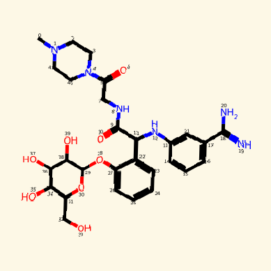 CN1CCN(C(=O)CNC(=O)C(Nc2cccc(C(=N)N)c2)c2ccccc2OC2OC(CO)C(O)C(O)C2O)CC1